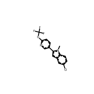 Cn1c(-c2ccc(OC(F)(F)F)nc2)cc2cc(Cl)ccc21